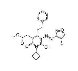 COC(=O)Cc1c(CCc2ccccc2)c(N=Nc2nocc2F)c(O)n(C2CCC2)c1=O